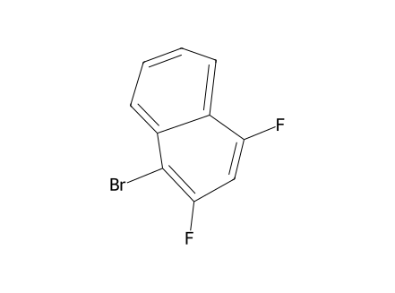 Fc1cc(F)c2ccccc2c1Br